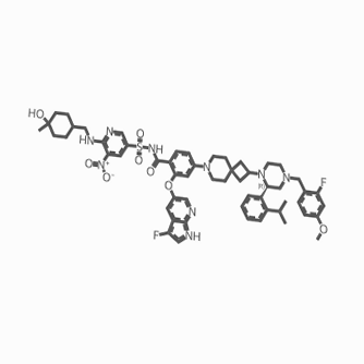 COc1ccc(CN2CCN(C3CC4(CCN(c5ccc(C(=O)NS(=O)(=O)c6cnc(NCC7CCC(C)(O)CC7)c([N+](=O)[O-])c6)c(Oc6cnc7[nH]cc(F)c7c6)c5)CC4)C3)[C@H](c3ccccc3C(C)C)C2)c(F)c1